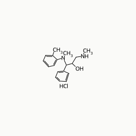 CNCC(O)C(c1ccccc1)N(C)c1ccccc1C.Cl